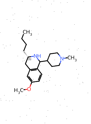 CCCC[C@H]1Cc2cc(OC)ccc2C(C2CCN(C)CC2)N1